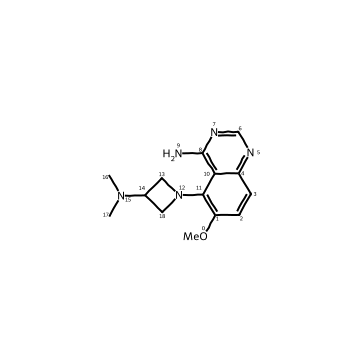 COc1ccc2ncnc(N)c2c1N1CC(N(C)C)C1